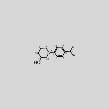 CC(C)c1ccc(N2CCCC(O)C2)cc1